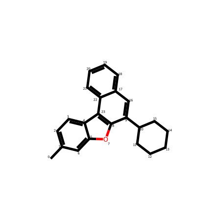 Cc1ccc2c(c1)oc1c(C3CCCCC3)cc3ccccc3c12